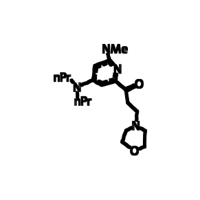 CCCN(CCC)c1cc(NC)nc(C(=O)CCN2CCOCC2)c1